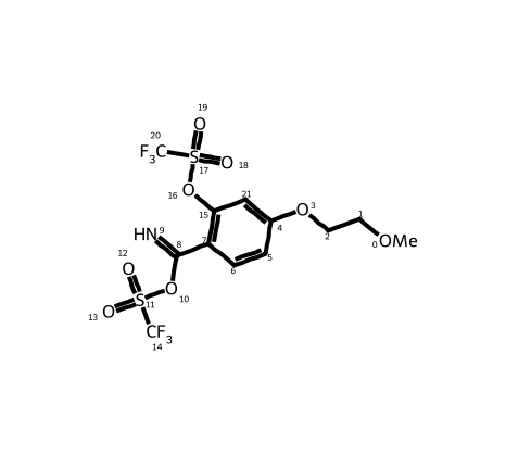 COCCOc1ccc(C(=N)OS(=O)(=O)C(F)(F)F)c(OS(=O)(=O)C(F)(F)F)c1